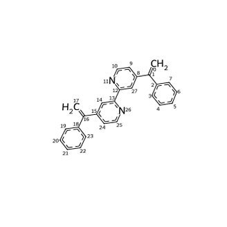 C=C(c1ccccc1)c1ccnc(-c2cc(C(=C)c3ccccc3)ccn2)c1